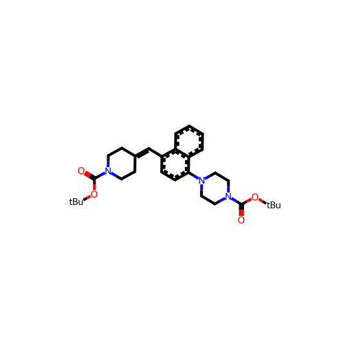 CC(C)(C)OC(=O)N1CCC(=Cc2ccc(N3CCN(C(=O)OC(C)(C)C)CC3)c3ccccc23)CC1